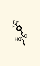 C=CCN(O)C(=O)/C=C/c1ccc(C(F)(F)F)cc1